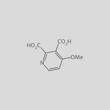 COc1ccnc(C(=O)O)c1C(=O)O